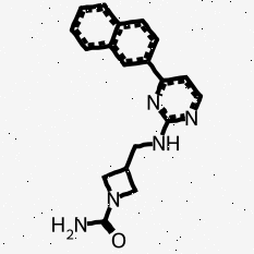 NC(=O)N1CC(CNc2nccc(-c3ccc4ccccc4c3)n2)C1